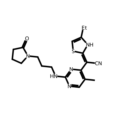 CCC1=CS/C(=C(/C#N)c2nc(NCCCN3CCCC3=O)ncc2C)N1